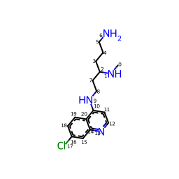 CNC(CCCN)CCNc1ccnc2cc(Cl)ccc12